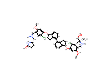 CCOc1cc(O[C@H]2CCc3c(-c4cccc5c4CC[C@@H]5Oc4cc(OCC)c(CN(C)[C@@](C)(CO)C(=O)O)cc4Cl)cccc32)c(Cl)cc1CN(C)C[C@@H]1CCC(=O)N1